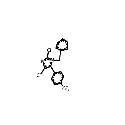 FC(F)(F)c1ccc(-c2c(Cl)nc(Cl)n2Cc2ccccc2)cc1